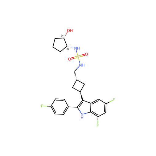 O=S(=O)(NC[C@H]1C[C@H](c2c(-c3ccc(F)cc3)[nH]c3c(F)cc(F)cc32)C1)N[C@@H]1CCC[C@@H]1O